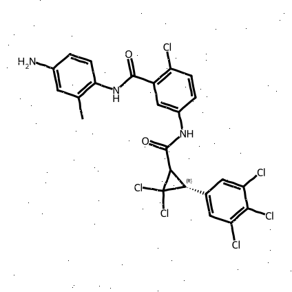 Cc1cc(N)ccc1NC(=O)c1cc(NC(=O)C2[C@H](c3cc(Cl)c(Cl)c(Cl)c3)C2(Cl)Cl)ccc1Cl